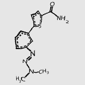 CN(C)N=Nc1cccc(-c2ccc(C(N)=O)s2)c1